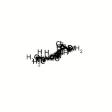 C=C[C@@H](CCNC(C)=N)NCc1ccc(-n2cc3cc(-c4cc(CCC(F)(F)CN)cc(Cl)c4F)[nH]c3nc2=O)cc1